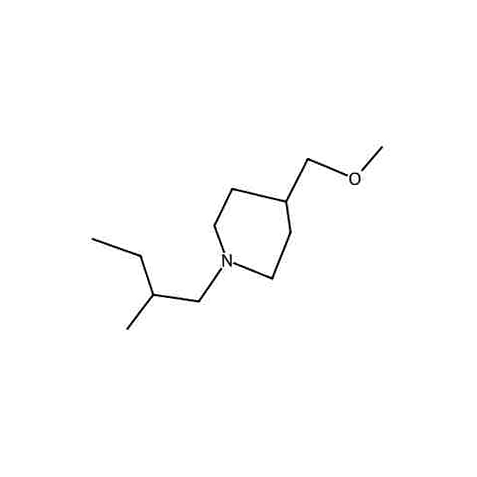 CCC(C)CN1CCC(COC)CC1